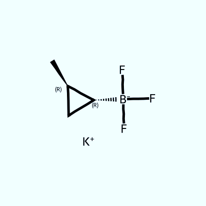 C[C@@H]1C[C@H]1[B-](F)(F)F.[K+]